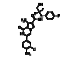 Cc1ccc(-c2cn3cc(C(=O)N[C@@H](c4ccc(F)cc4)C(F)(F)CO)c(C(F)(F)F)c3c(=O)[nH]2)cc1Cl